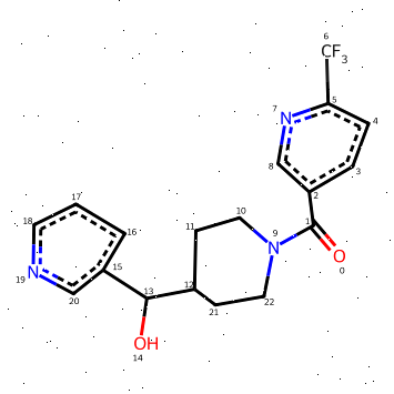 O=C(c1ccc(C(F)(F)F)nc1)N1CCC(C(O)c2cccnc2)CC1